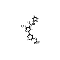 Cc1oc(-c2cccc(OC(F)F)c2)cc1C(=O)Nc1ncns1